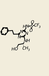 C[C@H](CO)Nc1nc(CCc2ccccc2)nc(NS(=O)(=O)C(F)(F)F)n1